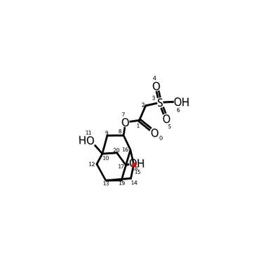 O=C(CS(=O)(=O)O)OC1CC2(O)CC3CCC1C(O)(C3)C2